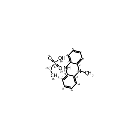 CN1c2ccccc2Nc2ccccc21.COS(=O)(=O)O